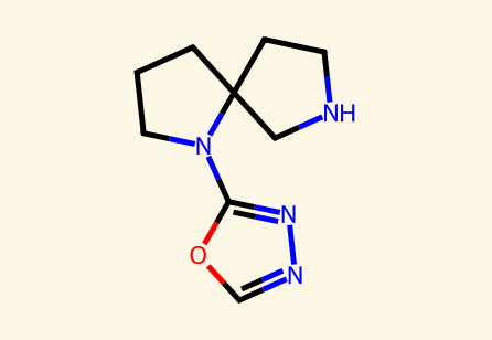 c1nnc(N2CCCC23CCNC3)o1